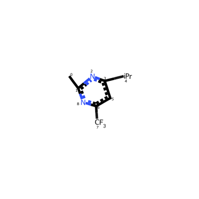 Cc1nc(C(C)C)cc(C(F)(F)F)n1